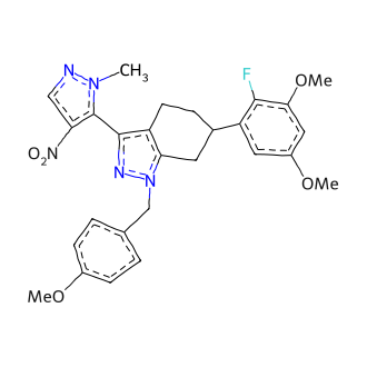 COc1ccc(Cn2nc(-c3c([N+](=O)[O-])cnn3C)c3c2CC(c2cc(OC)cc(OC)c2F)CC3)cc1